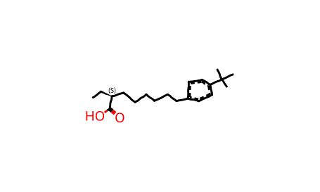 CC[C@@H](CCCCCCc1ccc(C(C)(C)C)cc1)C(=O)O